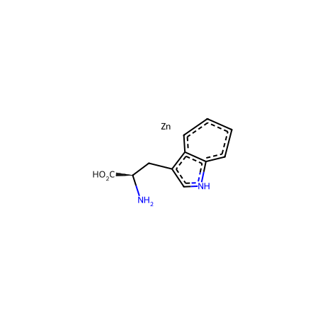 N[C@H](Cc1c[nH]c2ccccc12)C(=O)O.[Zn]